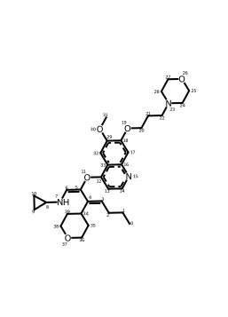 CCC/C=C(/C(=C\NC1CC1)Oc1ccnc2cc(OCCCN3CCOCC3)c(OC)cc12)C1CCOCC1